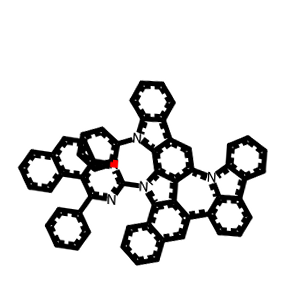 c1ccc(-c2nc(-n3c4c5ccccc5cc5c6cccc7c8ccccc8n(c8cc9c%10ccccc%10n(-c%10ccccc%10)c9c3c8c54)c67)nc3ccc4ccccc4c23)cc1